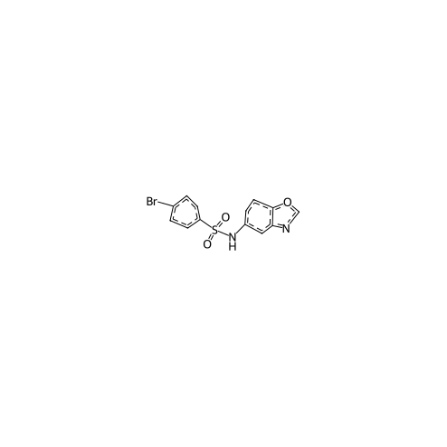 O=S(=O)(Nc1ccc2ocnc2c1)c1ccc(Br)cc1